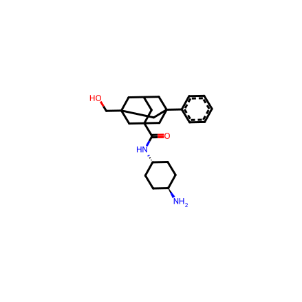 N[C@H]1CC[C@H](NC(=O)C23CC4CC(CO)(C2)CC(c2ccccc2)(C4)C3)CC1